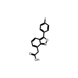 O=C(O)Cc1cccc2c(-c3ccc(I)cc3)onc12